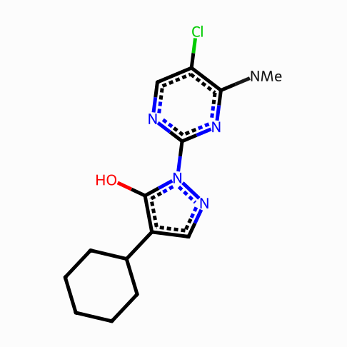 CNc1nc(-n2ncc(C3CCCCC3)c2O)ncc1Cl